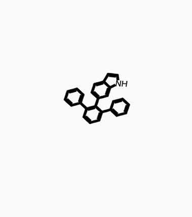 c1ccc(-c2cccc(-c3ccccc3)c2-c2ccc3cc[nH]c3c2)cc1